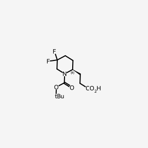 CC(C)(C)OC(=O)N1CC(F)(F)CC[C@H]1CCC(=O)O